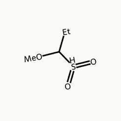 CCC(OC)[SH](=O)=O